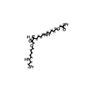 CC(C)CCNCCCCCOCC(=O)C(C)CCCCNCCCCCOCC(=O)C(C)C